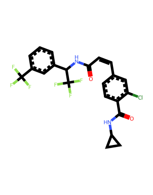 O=C(/C=C\c1ccc(C(=O)NC2CC2)c(Cl)c1)NC(c1cccc(C(F)(F)F)c1)C(F)(F)F